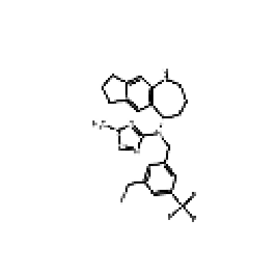 Cn1nnc(N(Cc2cc(CF)cc(C(F)(F)F)c2)[C@H]2CCCNc3cc4c(cc32)CCC4)n1